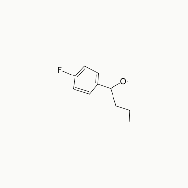 CCCC([O])c1ccc(F)cc1